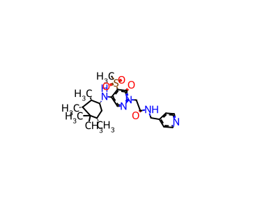 C[C@@H]1[C@@H](C)C(C)(C)[C@@H](C)C[C@H]1Nc1cnn(CC(=O)NCc2ccncc2)c(=O)c1S(C)(=O)=O